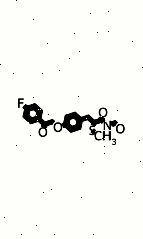 CSC(Cc1ccc(OCC(=O)c2ccc(F)cc2)cc1)C(=O)NC=O